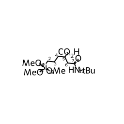 CO[Si](CCCC(CC(=O)NC(C)(C)C)C(=O)O)(OC)OC